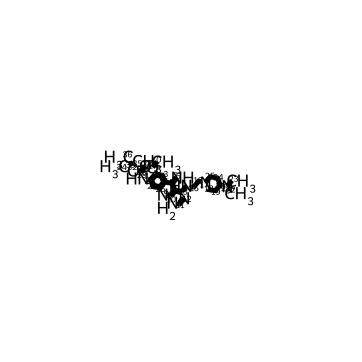 COc1cc(C(=N)c2c(N)ncnc2NCCN2CCC(N(C)C)CC2)ccc1NC(=O)OC(C)(C)C